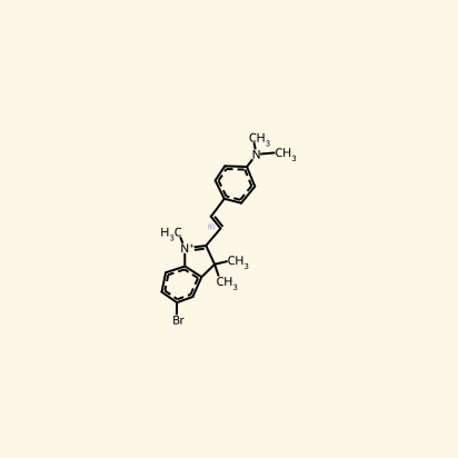 CN(C)c1ccc(/C=C/C2=[N+](C)c3ccc(Br)cc3C2(C)C)cc1